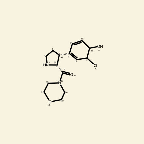 O=C([C@@H]1NCC[C@@H]1C1=CC(Cl)C(O)C=C1)N1CCOCC1